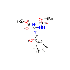 CC(C)(C)OC(=O)/N=C(\NCC(=O)c1ccccc1)NC(=O)OC(C)(C)C